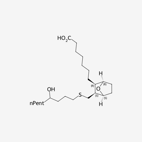 CCCCCC(O)CCCSC[C@H]1[C@@H](CCCCCCC(=O)O)[C@H]2CC[C@@H]1O2